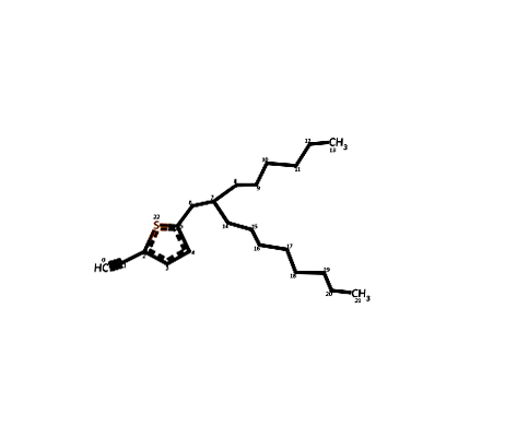 C#Cc1ccc(CC(CCCCCC)CCCCCCCC)s1